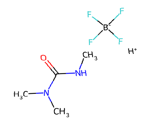 CNC(=O)N(C)C.F[B-](F)(F)F.[H+]